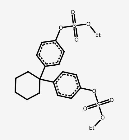 CCOS(=O)(=O)Oc1ccc(C2(c3ccc(OS(=O)(=O)OCC)cc3)CCCCC2)cc1